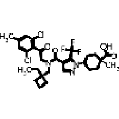 CCC1(CN(CC(=O)c2c(Cl)cc(C)cc2Cl)C(=O)c2cnn([C@H]3CC[C@](C)(C(=O)O)CC3)c2C(F)(F)F)CCC1